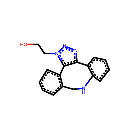 OCCn1nnc2c1-c1ccccc1CNc1ccccc1-2